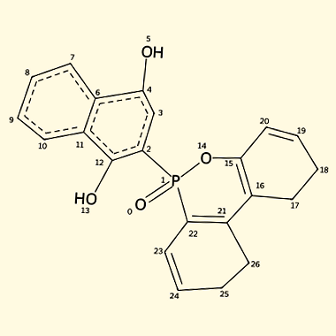 O=P1(c2cc(O)c3ccccc3c2O)OC2=C(CCC=C2)C2=C1C=CCC2